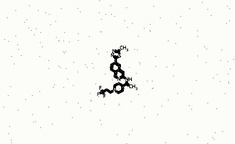 C=C(Nc1cc2cc(-c3nnc(C)s3)ccc2cn1)C1CCN(CCC(F)(F)F)CC1